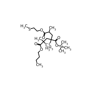 CCCCOC(=O)C(C)(C)CC(C)(CC(C)C(=O)OCCSC)C(=O)O[Si](C)(C)C